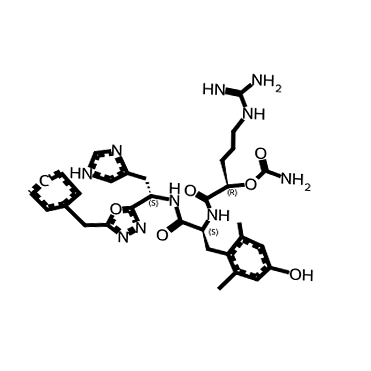 Cc1cc(O)cc(C)c1C[C@H](NC(=O)[C@@H](CCCNC(=N)N)OC(N)=O)C(=O)N[C@@H](Cc1c[nH]cn1)c1nnc(Cc2ccccc2)o1